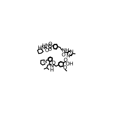 CCOc1cc(CC(=O)N[C@@H](CC(C)C)c2ccccc2N2CCCCC2)ccc1C(=O)O.Cc1cnc(C(=O)NCCc2ccc(S(=O)(=O)NC(=O)NC3CCCCC3)cc2)cn1